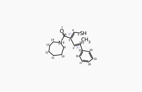 C/C(=C\C(=C/S)C(=O)N1CCCCCC1)c1ccccc1